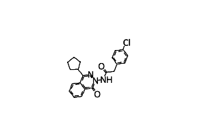 O=C(Cc1ccc(Cl)cc1)Nn1nc(C2CCCC2)c2ccccc2c1=O